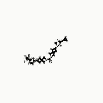 O=C(N1CC2(CC(n3cnc(C4CC4)n3)C2)C1)N1CC2(CC(n3cnc(C(F)(F)F)n3)C2)C1